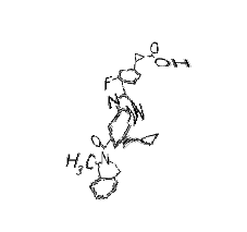 C[C@@H]1c2ccccc2CCN1C(=O)c1cc(C2CC2)n2nc(-c3ccc(C4C[C@H]4C(=O)O)cc3F)nc2c1